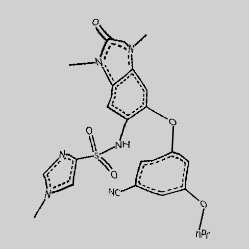 CCCOc1cc(C#N)cc(Oc2cc3c(cc2NS(=O)(=O)c2cn(C)cn2)n(C)c(=O)n3C)c1